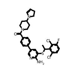 CC(Sc1cc(-c2ccc(C(=O)N3CCC(N4C=CCC4)CC3)cc2)cnc1N)c1c(Cl)ccc(F)c1Cl